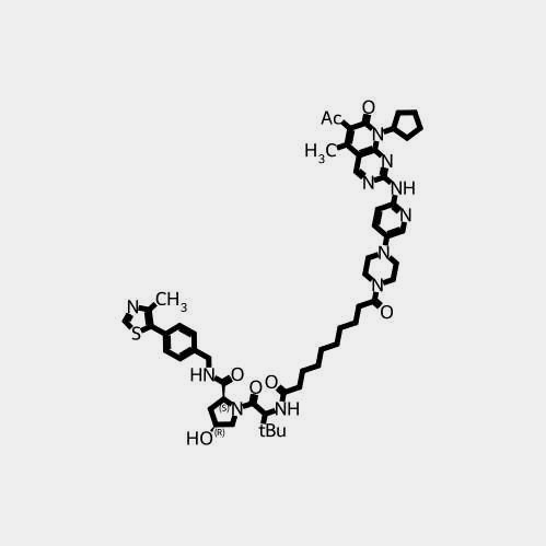 CC(=O)c1c(C)c2cnc(Nc3ccc(N4CCN(C(=O)CCCCCCCCC(=O)NC(C(=O)N5C[C@H](O)C[C@H]5C(=O)NCc5ccc(-c6scnc6C)cc5)C(C)(C)C)CC4)cn3)nc2n(C2CCCC2)c1=O